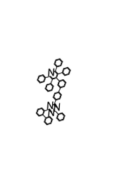 c1ccc(-c2nc(-c3ccc(-c4cccc(-c5c(-c6ccccc6)c(-c6ccccc6)nc(-c6ccccc6)c5-c5ccccc5)c4)cc3)nc(-c3ccccc3-c3ccccc3)n2)cc1